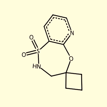 O=S1(=O)NCC2(CCC2)Oc2ncccc21